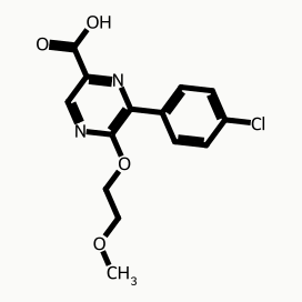 COCCOc1ncc(C(=O)O)nc1-c1ccc(Cl)cc1